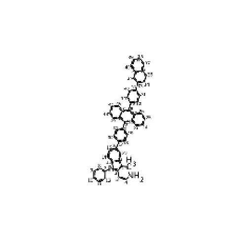 Cc1c(/C=C\N)n(-c2ccccc2)c2ccc(-c3ccc(-c4c5ccccc5c(-c5ccc(-c6ccc7ccccc7c6)cc5)c5ccccc45)cc3)cc12